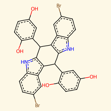 Oc1ccc(O)c(C2c3[nH]c4ccc(Br)cc4c3C(c3cc(O)ccc3O)c3[nH]c4ccc(Br)cc4c32)c1